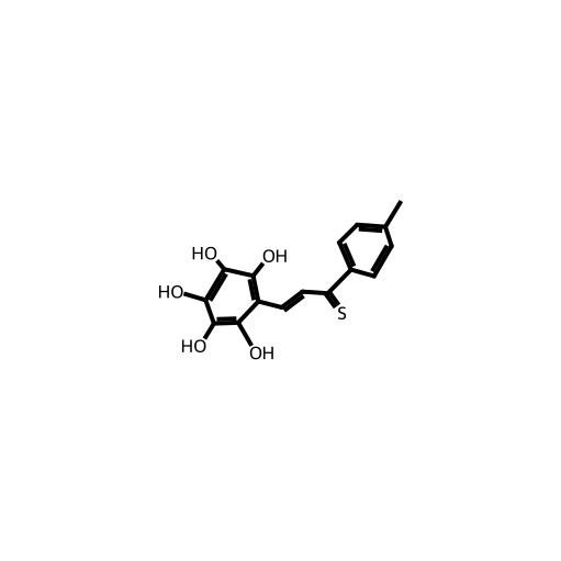 Cc1ccc(C(=S)C=Cc2c(O)c(O)c(O)c(O)c2O)cc1